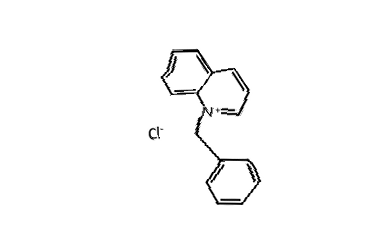 [Cl-].c1ccc(C[n+]2cccc3ccccc32)cc1